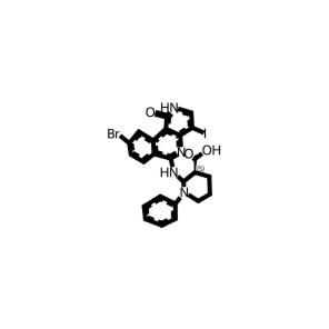 O=C(O)[C@H]1CCCN(c2ccccc2)C1Nc1nc2c(I)c[nH]c(=O)c2c2cc(Br)ccc12